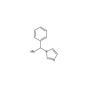 CCCCC(c1ccccc1)n1ccnc1